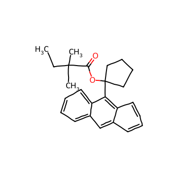 CCC(C)(C)C(=O)OC1(c2c3ccccc3cc3ccccc23)CCCC1